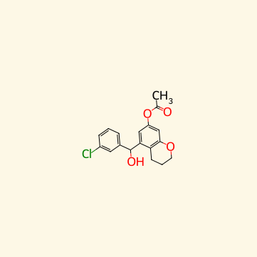 CC(=O)Oc1cc2c(c(C(O)c3cccc(Cl)c3)c1)CCCO2